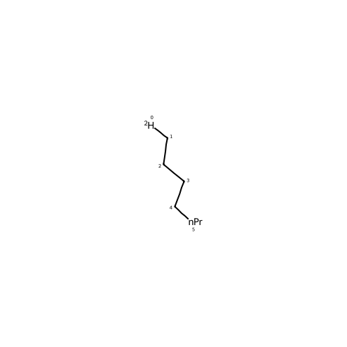 [2H]CCCCCCC